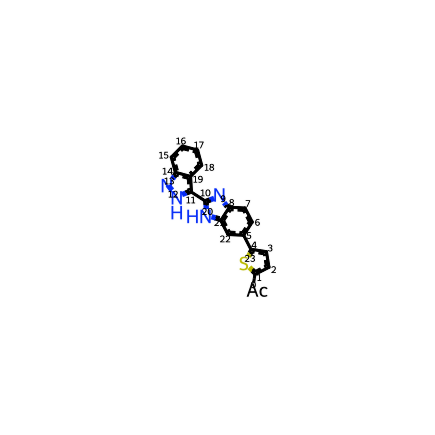 CC(=O)c1ccc(-c2ccc3nc(-c4[nH]nc5ccccc45)[nH]c3c2)s1